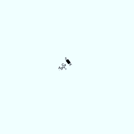 [Ag].[GaH3].[P]=S